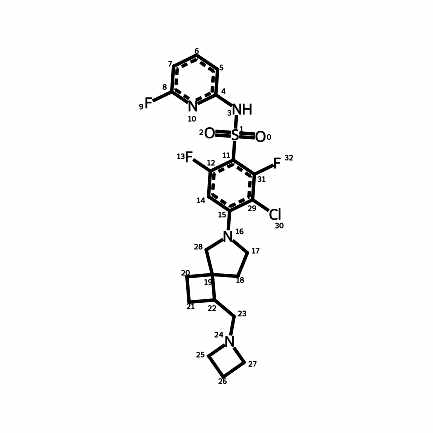 O=S(=O)(Nc1cccc(F)n1)c1c(F)cc(N2CCC3(CCC3CN3CCC3)C2)c(Cl)c1F